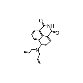 C=CCN(CC=C)c1ccc2c3c(cccc13)C(=O)NC2=O